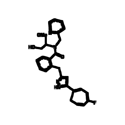 COC(CO)N(Cc1ccccn1)C(=O)c1ccccc1Cc1cc(C2=CC=C(F)C=CC2)[nH]n1